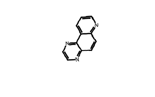 c1cnc2ccc3nccnc3c2c1